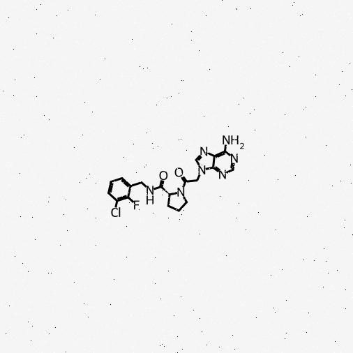 Nc1ncnc2c1ncn2CC(=O)N1CCC[C@H]1C(=O)NCc1cccc(Cl)c1F